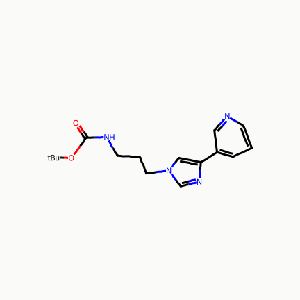 CC(C)(C)OC(=O)NCCCn1cnc(-c2cccnc2)c1